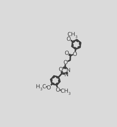 COc1cccc(OC(=O)COc2nnc(-c3ccc(OC)c(OC)c3)o2)c1